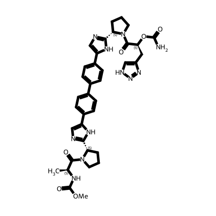 COC(=O)N[C@@H](C)C(=O)N1CCC[C@H]1c1ncc(-c2ccc(-c3ccc(-c4cnc([C@@H]5CCCN5C(=O)[C@H](Cc5c[nH]nn5)OC(N)=O)[nH]4)cc3)cc2)[nH]1